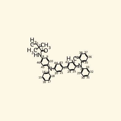 CCC(C)(C)C(=O)Nc1ccc(N(c2ccccc2)c2ccc(-c3ccc(N(c4ccccc4)c4ccccc4C)cc3)cc2)cc1